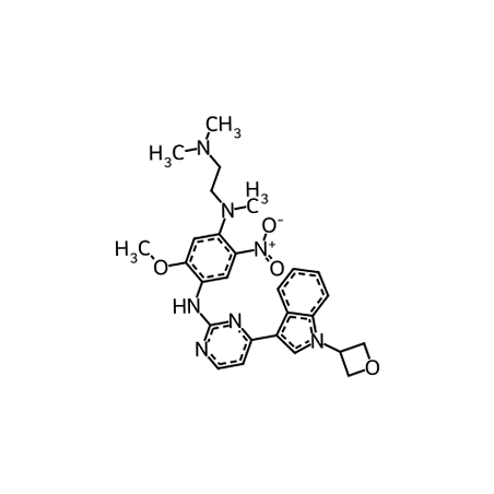 COc1cc(N(C)CCN(C)C)c([N+](=O)[O-])cc1Nc1nccc(-c2cn(C3COC3)c3ccccc23)n1